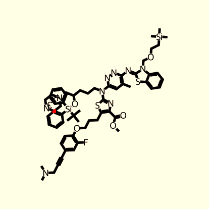 COC(=O)c1nc(N(CCCC(C[N+]23CCN(CC2)CC3)O[Si](c2ccccc2)(c2ccccc2)C(C)(C)C)c2cc(C)c(/N=c3\sc4ccccc4n3COCC[Si](C)(C)C)nn2)sc1CCCOc1ccc(C#CCN(C)C)cc1F